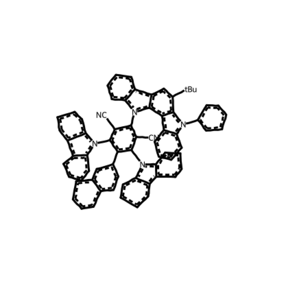 CC(C)(C)c1cc2c3ccccc3n(-c3c(C#N)c(-n4c5ccccc5c5ccccc54)c(-c4ccc5ccccc5c4)c(-n4c5ccccc5c5ccccc54)c3C#N)c2c2c3ccccc3n(-c3ccccc3)c12